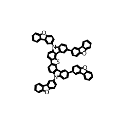 c1ccc2c(c1)oc1ccc(-c3ccc4c(c3)c3c5sc6c(ccc7c6c6cc(-c8ccc9oc%10ccccc%10c9c8)ccc6n7-c6ccc7oc8ccccc8c7c6)c5ccc3n4-c3ccc4oc5ccccc5c4c3)cc12